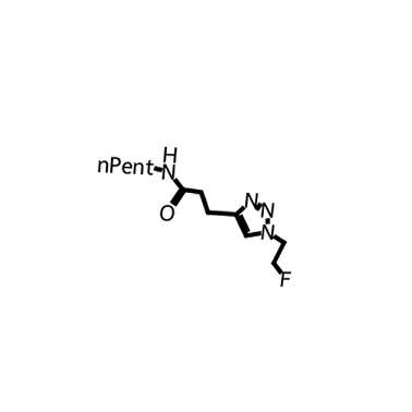 CCCCCNC(=O)CCc1cn(CCF)nn1